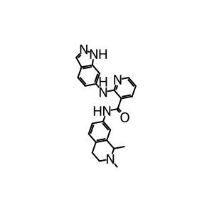 CC1c2cc(NC(=O)c3cccnc3Nc3ccc4cn[nH]c4c3)ccc2CCN1C